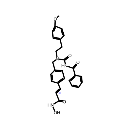 COc1ccc(CCN(Cc2ccc(/C=C/C(=O)NO)cc2)C(=O)NC(=O)c2ccccc2)cc1